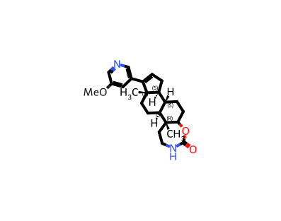 COc1cncc(C2=CC[C@H]3[C@@H]4CCC5OC(=O)NCC[C@]5(C)[C@H]4CC[C@]23C)c1